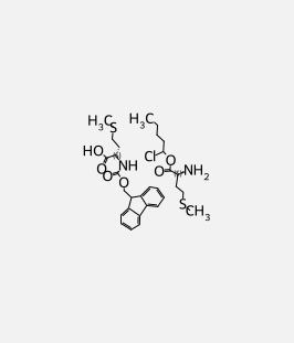 CCCCC(Cl)OC(=O)[C@@H](N)CCSC.CSCC[C@H](NC(=O)OCC1c2ccccc2-c2ccccc21)C(=O)O